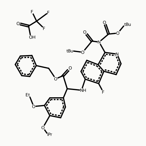 CCOc1cc(C(Nc2ccc3c(N(C(=O)OC(C)(C)C)C(=O)OC(C)(C)C)nccc3c2F)C(=O)OCc2ccccc2)ccc1OC(C)C.O=C(O)C(F)(F)F